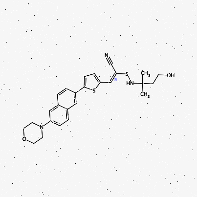 CC(C)(CCO)NS/C(C#N)=C/c1ccc(-c2ccc3cc(N4CCOCC4)ccc3c2)s1